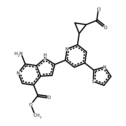 COC(=O)c1cnc(N)c2[nH]c(-c3cc(-c4nccs4)cc(C4CC4C(=O)Cl)n3)cc12